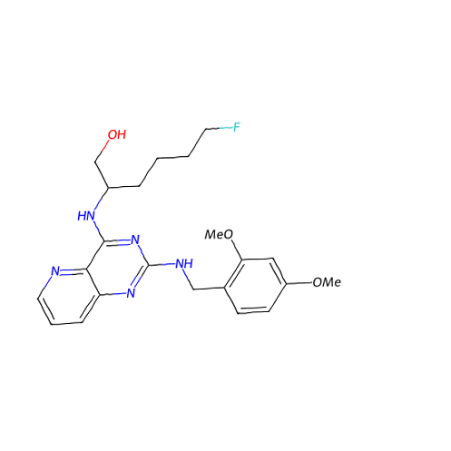 COc1ccc(CNc2nc(NC(CO)CCCCF)c3ncccc3n2)c(OC)c1